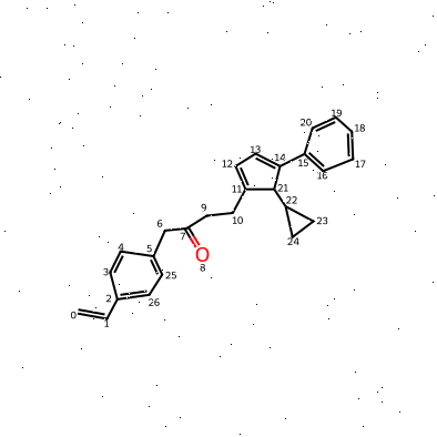 C=Cc1ccc(CC(=O)CCC2=CC=C(c3ccccc3)C2C2CC2)cc1